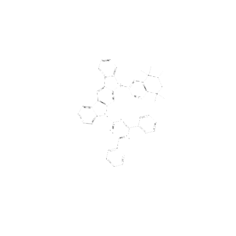 CC1CC(C)(C)c2ccc(-n3c4ccccc4c4cc5c6ccccc6n(-c6nc(-c7ccccc7)nc(-c7ccccc7)n6)c5cc43)cc2C1(C)C